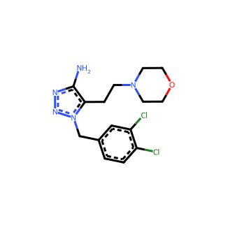 Nc1nnn(Cc2ccc(Cl)c(Cl)c2)c1CCN1CCOCC1